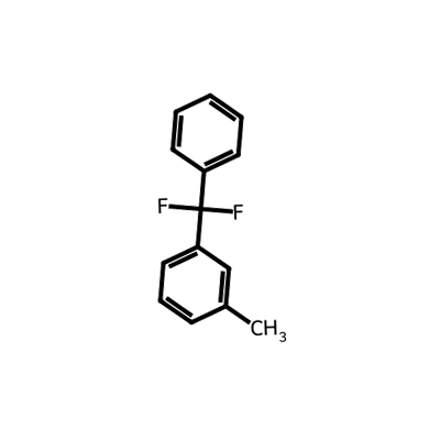 Cc1cccc(C(F)(F)c2ccccc2)c1